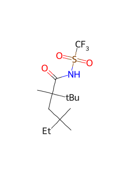 CCC(C)(C)CC(C)(C(=O)NS(=O)(=O)C(F)(F)F)C(C)(C)C